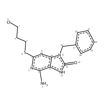 Nc1nc(SCCCCl)nc2c1[nH]c(=O)n2Cc1ccccc1